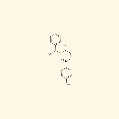 COc1ccc(-c2ccc(=O)n(C(C)c3ccccc3)c2)cc1